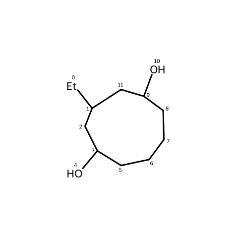 CCC1CC(O)CCCCC(O)C1